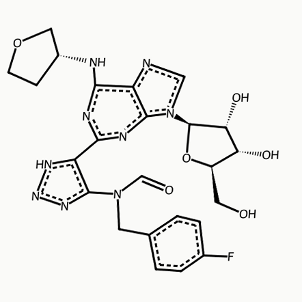 O=CN(Cc1ccc(F)cc1)c1nn[nH]c1-c1nc(N[C@@H]2CCOC2)c2ncn([C@@H]3O[C@H](CO)[C@@H](O)[C@H]3O)c2n1